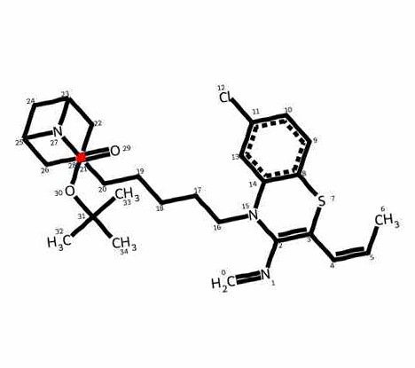 C=NC1=C(/C=C\C)Sc2ccc(Cl)cc2N1CCCCCN1CC2CC(C1)N2C(=O)OC(C)(C)C